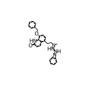 CN(CCc1ccc(OCc2ccccc2)c2[nH]c(=O)ccc12)NNN1c2ccccc21